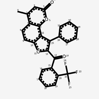 Cc1cc(=O)oc2c1ccc1oc(C(=O)c3ccccc3C(F)(F)F)c(-c3ccccc3)c12